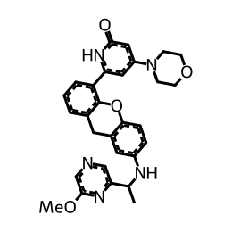 COc1cncc(C(C)Nc2ccc3c(c2)Cc2cccc(-c4cc(N5CCOCC5)cc(=O)[nH]4)c2O3)n1